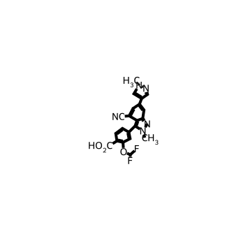 Cn1cc(-c2cc(C#N)c3c(-c4ccc(C(=O)O)c(OC(F)F)c4)n(C)nc3c2)cn1